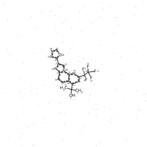 CC(C)(O)c1cc(C(F)(F)C(F)(F)F)nc2c1ccc1nc(-c3nnco3)cn12